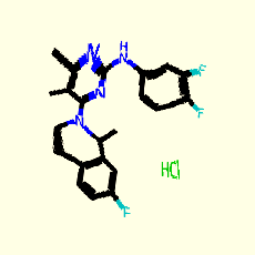 Cc1nc(Nc2ccc(F)c(F)c2)nc(N2CCc3ccc(F)cc3C2C)c1C.Cl